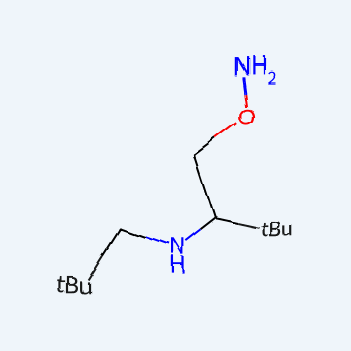 CC(C)(C)CNC(CON)C(C)(C)C